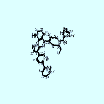 CCC1CC(c2nc3c(-c4ccc(-c5ccccn5)nc4)cnn3c3c2C(=O)CCN3)CCN1C(=O)c1nnc[nH]1